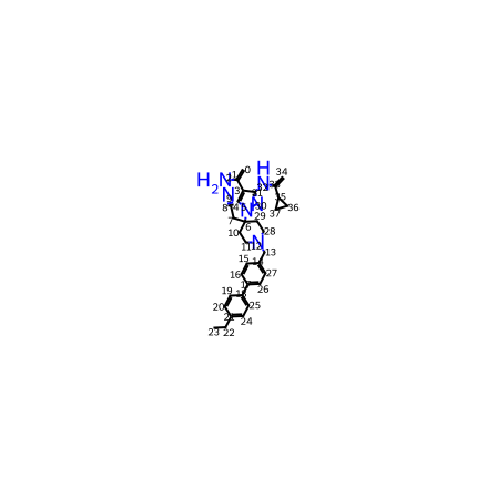 C=C(N)c1cn(C2(CC#N)CCN(Cc3ccc(-c4ccc(CC)cc4)cc3)CC2)nc1NC(=C)C1CC1